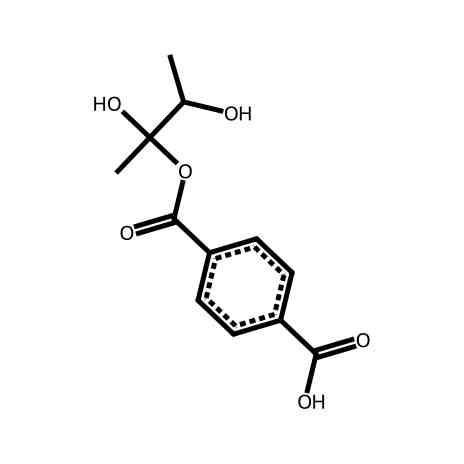 CC(O)C(C)(O)OC(=O)c1ccc(C(=O)O)cc1